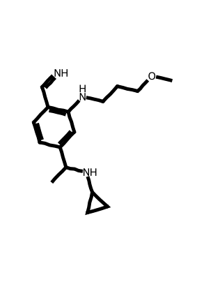 COCCCNc1cc(C(C)NC2CC2)ccc1C=N